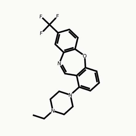 CCN1CCN(c2cccc3c2C=Nc2cc(C(F)(F)F)ccc2O3)CC1